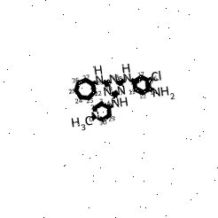 CN1CCC(Nc2nc(Nc3ccc(N)c(Cl)c3)nc(NC3CCCCCC3)n2)CC1